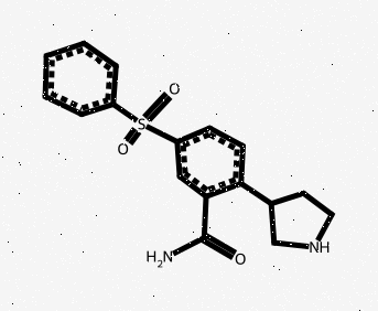 NC(=O)c1cc(S(=O)(=O)c2ccccc2)ccc1C1CCNC1